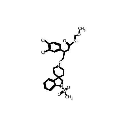 COCNC(=O)CC(CCN1CCC2(CC1)CN(S(C)(=O)=O)c1ccccc12)c1ccc(Cl)c(Cl)c1